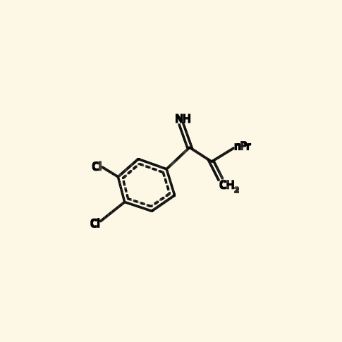 C=C(CCC)C(=N)c1ccc(Cl)c(Cl)c1